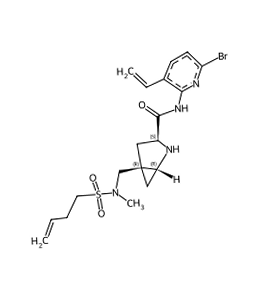 C=CCCS(=O)(=O)N(C)C[C@@]12C[C@@H](C(=O)Nc3nc(Br)ccc3C=C)N[C@@H]1C2